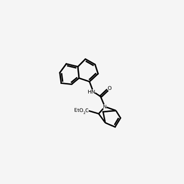 CCOC(=O)C1C2C=CC(C2)N1C(=O)Nc1cccc2ccccc12